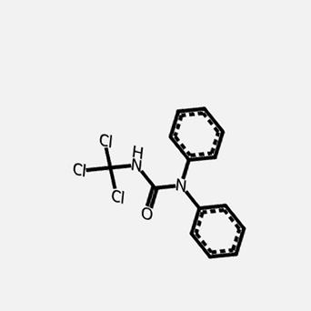 O=C(NC(Cl)(Cl)Cl)N(c1ccccc1)c1ccccc1